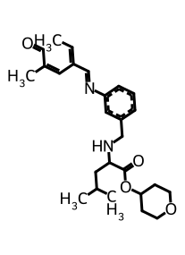 C/C=C(\C=C(\C)C=O)/C=N/c1cccc(CNC(CC(C)C)C(=O)OC2CCOCC2)c1